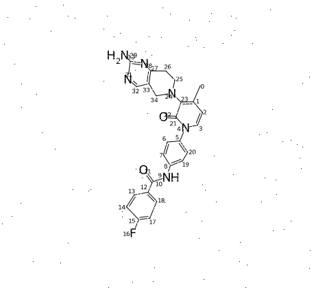 Cc1ccn(-c2ccc(NC(=O)c3ccc(F)cc3)cc2)c(=O)c1N1CCc2nc(N)ncc2C1